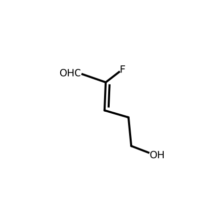 O=CC(F)=CCCO